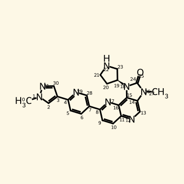 Cn1cc(-c2ccc(-c3ccc4ncc5c(c4n3)n([C@H]3CCNC3)c(=O)n5C)cn2)cn1